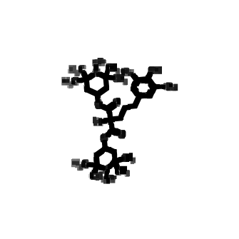 CCCN1C(C)(C)CC(OC(=O)C(CC)(CCCc2cc(C(C)(C)C)c(O)c(C(C)(C)C)c2)C(=O)OC2CC(C)(C)N(CCC)C(C)(C)C2)CC1(C)C